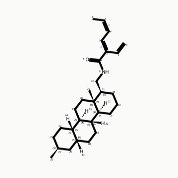 C=C/C(=C\C=C/C)C(=O)NC[C@H]1CCC[C@H]2[C@@H]3CC[C@@H]4C[C@@H](C)CC[C@@H]4[C@H]3CC[C@]12C